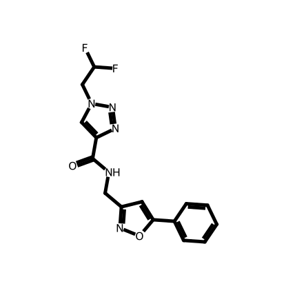 O=C(NCc1cc(-c2ccccc2)on1)c1cn(CC(F)F)nn1